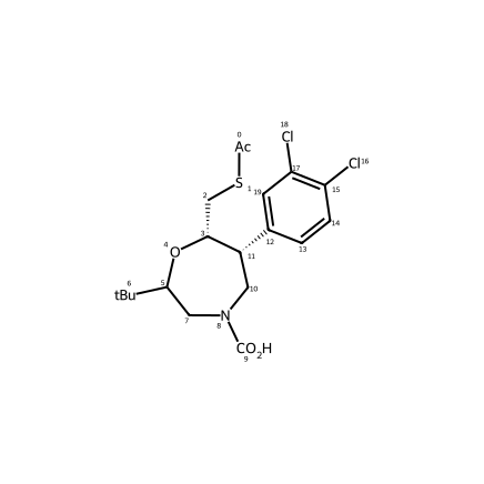 CC(=O)SC[C@H]1OC(C(C)(C)C)CN(C(=O)O)C[C@H]1c1ccc(Cl)c(Cl)c1